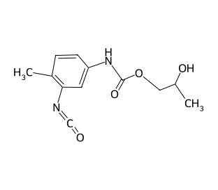 Cc1ccc(NC(=O)OCC(C)O)cc1N=C=O